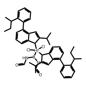 CCC(C)c1ccccc1-c1cccc2c1C=C(C(C)C)[CH]2[Hf]([Cl])([Cl])([B](NC=O)NC=O)[CH]1C(C(C)C)=Cc2c(-c3ccccc3C(C)CC)cccc21